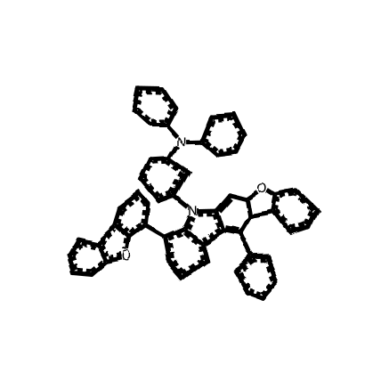 C1=c2c(c3cccc(-c4cccc5c4oc4ccccc45)c3n2-c2cccc(N(c3ccccc3)c3ccccc3)c2)=C(c2ccccc2)C2c3ccccc3OC12